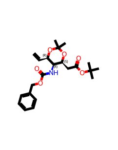 C=C[C@H]1OC(C)(C)O[C@@H](CC(=O)OC(C)(C)C)[C@H]1NC(=O)OCc1ccccc1